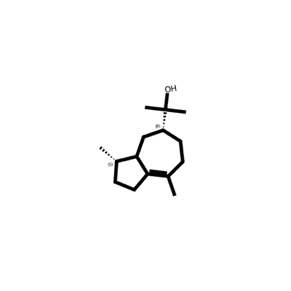 CC1=C2CC[C@H](C)C2C[C@H](C(C)(C)O)CC1